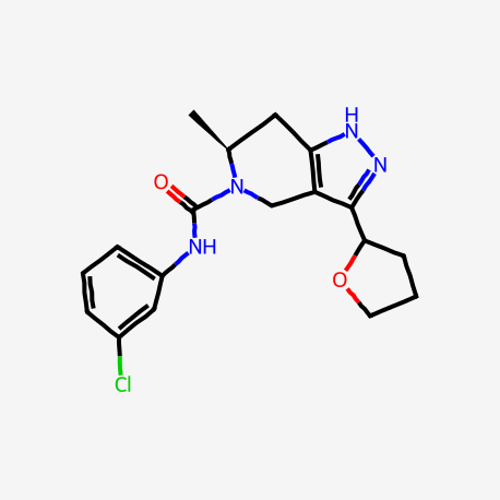 C[C@H]1Cc2[nH]nc(C3CCCO3)c2CN1C(=O)Nc1cccc(Cl)c1